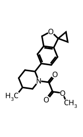 COC(=O)C(=O)N1CC(C)CCC1c1ccc2c(c1)COC21CC1